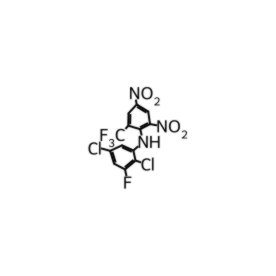 O=[N+]([O-])c1cc([N+](=O)[O-])c(Nc2cc(Cl)cc(F)c2Cl)c(C(F)(F)F)c1